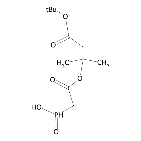 CC(C)(C)OC(=O)CC(C)(C)OC(=O)C[PH](=O)O